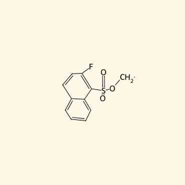 [CH2]OS(=O)(=O)c1c(F)ccc2ccccc12